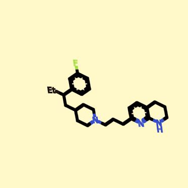 CCC(CC1CCN(CCCc2ccc3c(n2)NCCC3)CC1)c1cccc(F)c1